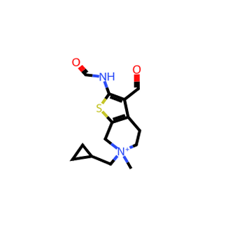 C[N+]1(CC2CC2)CCc2c(sc(NC=O)c2C=O)C1